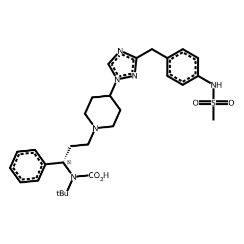 CC(C)(C)N(C(=O)O)[C@@H](CCN1CCC(n2cnc(Cc3ccc(NS(C)(=O)=O)cc3)n2)CC1)c1ccccc1